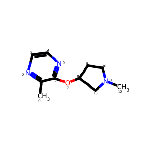 Cc1nccnc1OC1CCN(C)C1